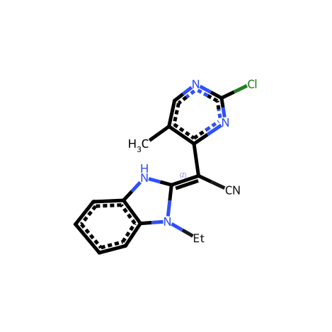 CCN1/C(=C(\C#N)c2nc(Cl)ncc2C)Nc2ccccc21